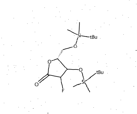 CC(C)(C)[Si](C)(C)OC[C@H]1OC(=O)C(F)C1O[Si](C)(C)C(C)(C)C